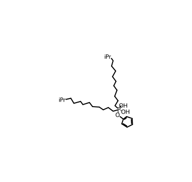 CC(C)CCCCCCCCCCP(O)(O)(CCCCCCCCCCC(C)C)Oc1ccccc1